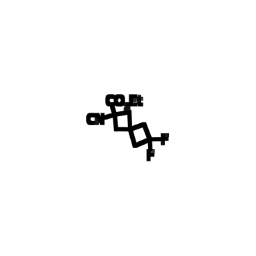 [C-]#[N+]C1(C(=O)OCC)CC2(CC(F)(F)C2)C1